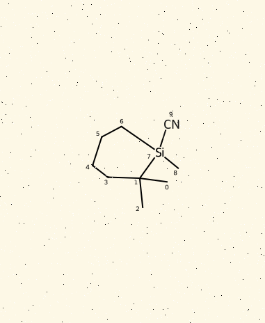 CC1(C)CCCC[Si]1(C)C#N